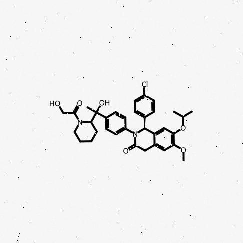 COc1cc2c(cc1OC(C)C)[C@H](c1ccc(Cl)cc1)N(c1ccc(C(C)(O)C3CCCCN3C(=O)CO)cc1)C(=O)C2